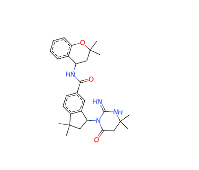 CC1(C)CC(=O)N(C2CC(C)(C)c3ccc(C(=O)NC4CC(C)(C)Oc5ccccc54)cc32)C(=N)N1